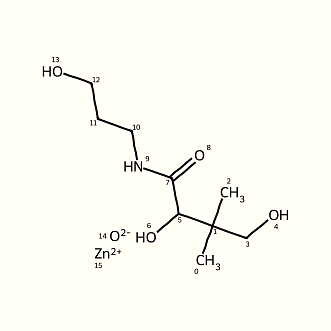 CC(C)(CO)C(O)C(=O)NCCCO.[O-2].[Zn+2]